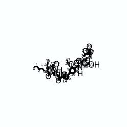 CCCCC[C@@H](C(=O)NCNC(=O)c1ccc(-c2ccc(C(=O)N[C@@H](CC(=O)O)C(=O)OCc3oc(=O)oc3C)c(OCC)c2)o1)[C@@H](CC)N(O)C=O